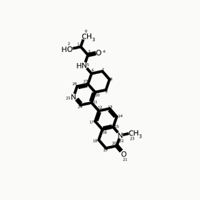 CC(O)C(=O)NC1CCCc2c(-c3ccc4c(c3)CCC(=O)N4C)cncc21